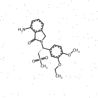 CCOc1cc([C@H](CS(C)(=O)=O)N2Cc3cccc(N)c3C2=O)ccc1OC